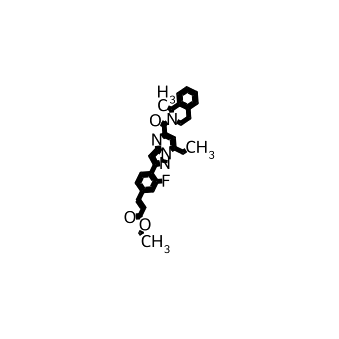 CCOC(=O)/C=C/c1ccc(-c2cc3nc(C(=O)N4CCc5ccccc5C4C)cc(CC)n3n2)c(F)c1